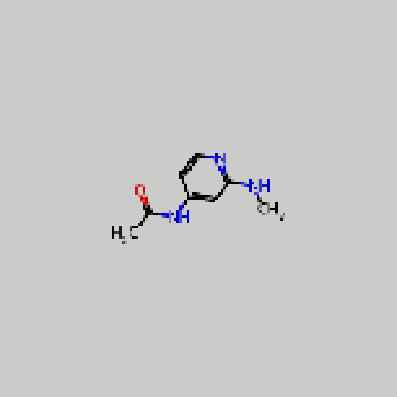 CNc1cc(NC(C)=O)ccn1